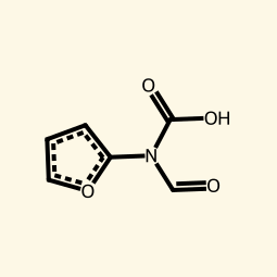 O=CN(C(=O)O)c1ccco1